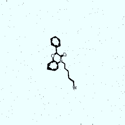 O=C1C(c2ccccc2)Oc2ccccc2N1CCCCCBr